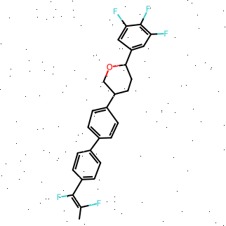 C/C(F)=C(\F)c1ccc(-c2ccc(C3CCC(c4cc(F)c(F)c(F)c4)OC3)cc2)cc1